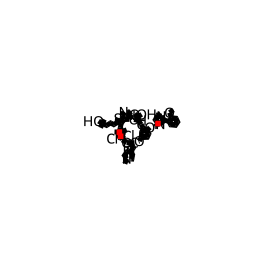 COc1ccccc1-c1nccc(COc2ccc3cc2C[C@H](C(=O)O)Oc2ncnc4sc(CCCC(C)(C)O)c(c24)-c2c(C)c(Cl)c(c(Cl)c2C)O[C@H](CN2CCN(C)CC2)CO3)n1